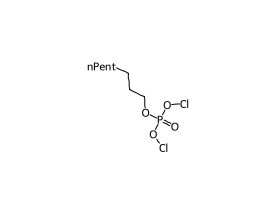 CCCCCCCCOP(=O)(OCl)OCl